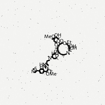 CC[C@H]1OC(=O)[C@H](C)[C@@H](O[C@H]2C[C@@](C)(OC)[C@@H](O)[C@H](C)O2)[C@H](C)[C@@H](O[C@H]2C[C@@H](N(C)CCC3=CN([C@H](CF)[C@H](OC)c4ccc(-c5cncs5)cc4)NN3)C[C@@H](C)O2)[C@](C)(O)C[C@@H](C)CN(C)[C@H](C)[C@@H](O)[C@]1(C)O